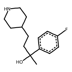 CC(O)(CCC1CCNCC1)c1ccc(F)cc1